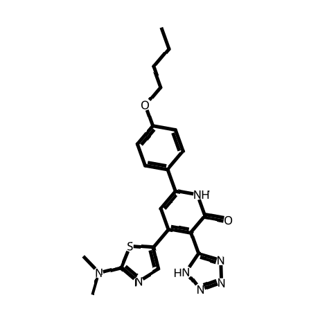 CCCCOc1ccc(-c2cc(-c3cnc(N(C)C)s3)c(-c3nnn[nH]3)c(=O)[nH]2)cc1